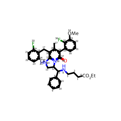 CCOC(=O)CCCNC(c1ccccc1)C1CNc2c(Cc3c(F)cccc3C(F)(F)F)c(C)c(-c3cccc(OC)c3F)c(=O)n21